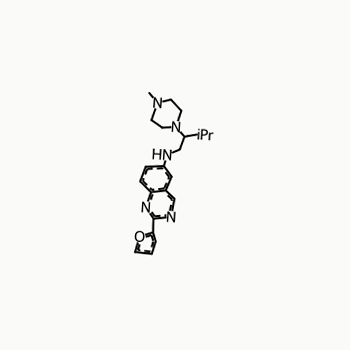 CC(C)C(CNc1ccc2nc(-c3ccco3)ncc2c1)N1CCN(C)CC1